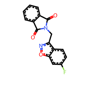 O=C1c2ccccc2C(=O)N1Cc1noc2cc(F)ccc12